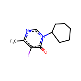 O=c1c(I)c(C(F)(F)F)ncn1C1CCCCC1